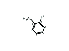 Fc1ccccc1[AsH2]